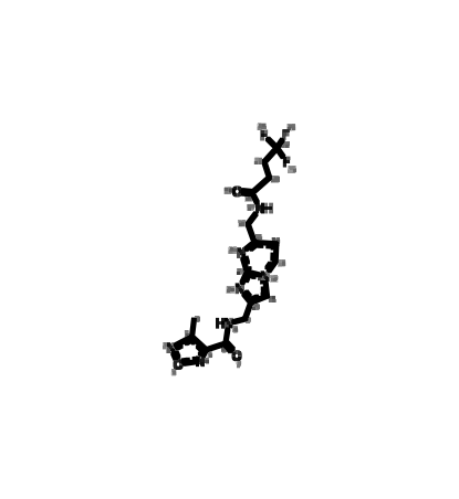 Cc1nonc1C(=O)NCc1cn2ccc(CNC(=O)CCC(F)(F)F)nc2n1